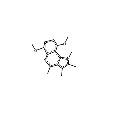 COc1ccc(OC)c2c1nc(C)c1c(C)c(C)n(C)c12